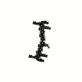 CCCCOc1cc(OC)c(C(=O)Oc2ccc(C(=O)Oc3ccc(-c4ccc(OC(=O)c5ccc(OC(=O)c6cc(OC)c(OCCCC)cc6OC)cc5)c(C)c4)cc3)cc2)cc1OC